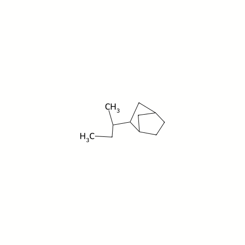 CCC(C)C1CC2CCC1C2